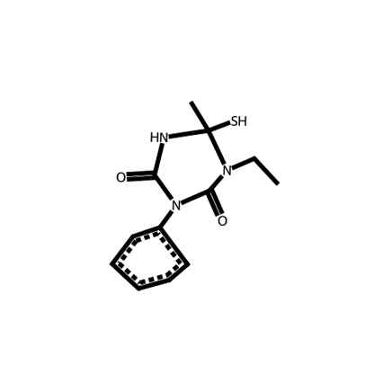 CCN1C(=O)N(c2ccccc2)C(=O)NC1(C)S